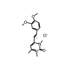 COc1ccc(/C=C/c2cc(C)[n+](C)c(=O)n2C)cc1OC.[Cl-]